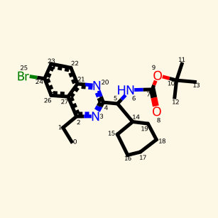 CCc1nc(C(NC(=O)OC(C)(C)C)C2CCCCC2)nc2ccc(Br)cc12